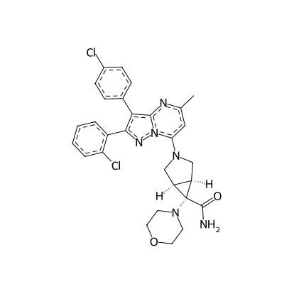 Cc1cc(N2C[C@@H]3[C@H](C2)[C@@]3(C(N)=O)N2CCOCC2)n2nc(-c3ccccc3Cl)c(-c3ccc(Cl)cc3)c2n1